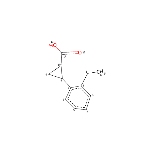 CCc1ccccc1C1CC1C(=O)O